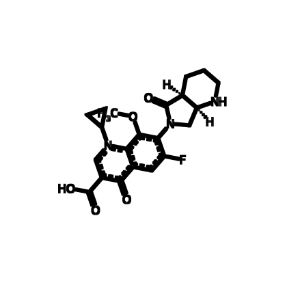 COc1c(N2C[C@@H]3NCCC[C@@H]3C2=O)c(F)cc2c(=O)c(C(=O)O)cn(C3CC3)c12